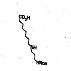 CCCCCCCCCCCCNCCCCCCCC(=O)O